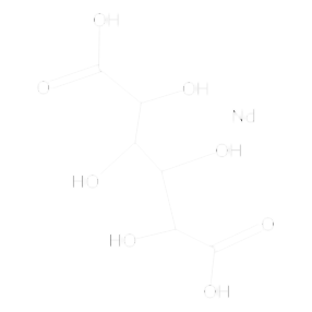 O=C(O)C(O)C(O)C(O)C(O)C(=O)O.[Nd]